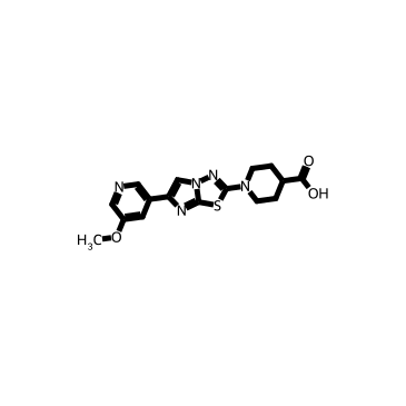 COc1cncc(-c2cn3nc(N4CCC(C(=O)O)CC4)sc3n2)c1